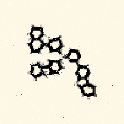 c1cc(-c2ccc3c(c2)sc2ccccc23)cc(N(c2cccc(-c3cccc4ccccc34)c2)c2ccc3oc4ccccc4c3c2)c1